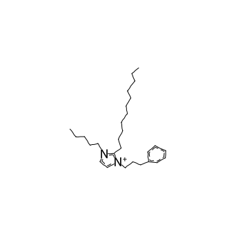 CCCCCCCCCCCc1n(CCCCC)cc[n+]1CCCc1ccccc1